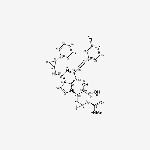 CNC(=O)[C@H]1C2CC2[C@@H](n2cnc3c(NC4CC4c4ccccc4)nc(C#Cc4cccc(Cl)c4)nc32)[C@H](O)[C@@H]1O